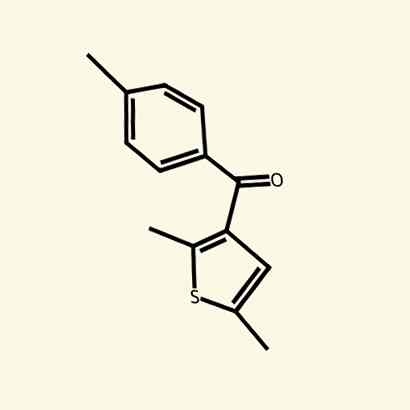 Cc1ccc(C(=O)c2cc(C)sc2C)cc1